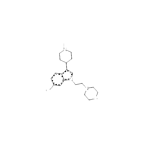 Clc1ccc2c(C3CCNCC3)cn(CCN3CCOCC3)c2c1